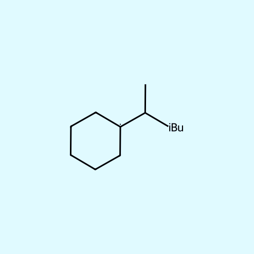 [CH2]CC(C)C(C)[C]1CCCCC1